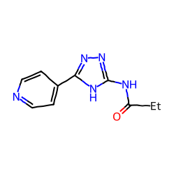 CCC(=O)Nc1nnc(-c2ccncc2)[nH]1